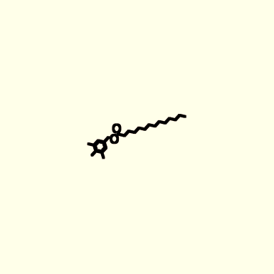 CCCCCCCCCCCCCC(=O)OCc1cc(C)c(C)c(C)c1